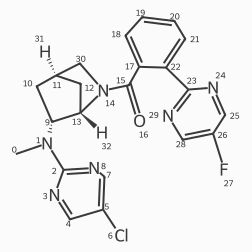 CN(c1ncc(Cl)cn1)[C@@H]1C[C@@H]2C[C@@H]1N(C(=O)c1ccccc1-c1ncc(F)cn1)C2